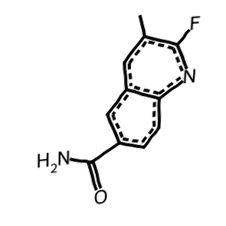 Cc1cc2cc(C(N)=O)ccc2nc1F